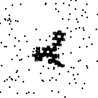 CC#CC(=O)Nc1cc(-c2ncc[nH]2)ccc1OCCN1CCOCC1